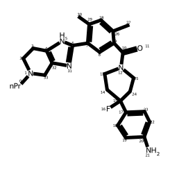 CCCN1CCc2[nH]c(-c3cc(C(=O)N4CCC(F)(c5ccc(N)cc5)CC4)c(C)cc3C)nc2C1